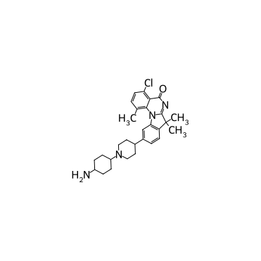 Cc1ccc(Cl)c2c(=O)nc3n(c12)-c1cc(C2CCN(C4CCC(N)CC4)CC2)ccc1C3(C)C